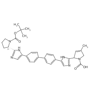 CC1=CC(c2ncc(-c3ccc(-c4ccc(-c5cnc([C@@H]6CCCN6C(=O)OC(C)(C)C)[nH]5)cc4)cc3)[nH]2)N(C(=O)O)C1